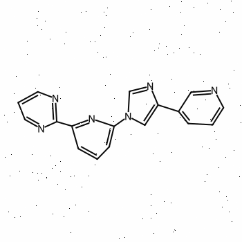 c1cnc(-c2cccc(-n3cnc(-c4cccnc4)c3)n2)nc1